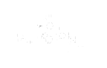 COc1cccc(-c2cn(COCC[Si](C)(C)C)c3nccc(Oc4c(F)cc(NC(=O)N[C@H](C)C5COC5)cc4F)c23)c1C#N